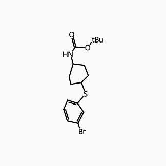 CC(C)(C)OC(=O)NC1CCC(Sc2cccc(Br)c2)CC1